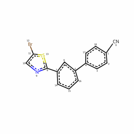 N#Cc1ccc(-c2[c]c(-c3ncc(Br)s3)ccc2)cc1